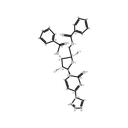 O=C(OC[C@@]1(F)O[C@@H](n2ccc(-n3cnnn3)nc2=O)[C@H](F)[C@@H]1OC(=O)c1ccccc1)c1ccccc1